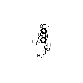 CCOC(=O)CNC1=C/C(=N/c2ccc3c(c2)OCCO3)CC(C)(C)C1